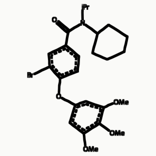 COc1cc(Oc2ccc(C(=O)N(C(C)C)C3CCCCC3)cc2Br)cc(OC)c1OC